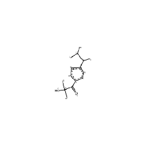 CC(C)C(C)c1ccc(C(=O)C(C)(C)O)cc1